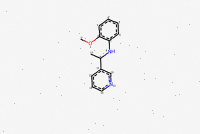 COc1ccccc1NC(C)c1cccnc1